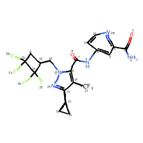 NC(=O)c1cc(NC(=O)c2c(C(F)(F)F)c(C3CC3)nn2CC2CC(F)(F)C2(F)F)ccn1